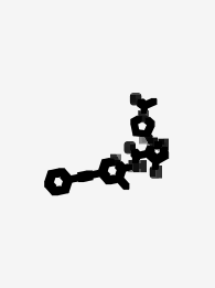 CC(=O)N1CC[C@H](n2ncc(Cl)c2C(=O)Nc2ncc(C#Cc3ccccc3)cc2C)C1